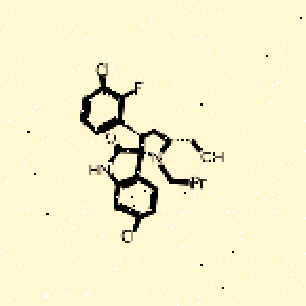 CC(C)CN1[C@@H](CO)C[C@H](c2cccc(Cl)c2F)[C@]12C(=O)Nc1cc(Cl)ccc12